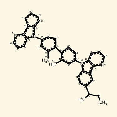 CCC(C)c1ccc2c(c1)c1ncccc1n2-c1ccc(-c2ccc(-n3c4ccccc4c4ncccc43)cc2C)c(C)c1